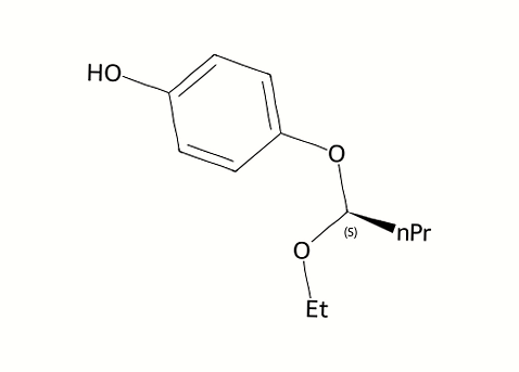 CCC[C@@H](OCC)Oc1ccc(O)cc1